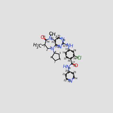 CC1CN(C2CCCC2)c2nc(Nc3ccc(C(=O)Nc4ccncc4)c(Cl)c3)ncc2N(C)C1=O